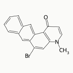 Cn1ccc(=O)c2c3cc4ccccc4cc3c(Br)cc21